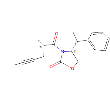 CC#CC[C@H](C)C(=O)N1C(=O)OC[C@H]1C(C)c1ccccc1